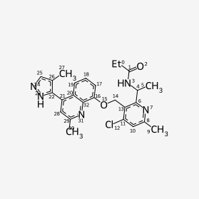 CCC(=O)NC(C)c1nc(C)cc(Cl)c1COc1cccc2c(-c3[nH]ncc3C)cc(C)nc12